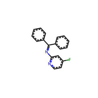 Fc1ccnc(N=C(c2ccccc2)c2ccccc2)c1